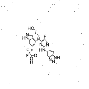 O=C(O)C(F)(F)F.OCCCN(c1nc(Nc2ccc3[nH]nnc3c2)ncc1F)c1cccc2[nH]ncc12